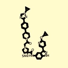 CS[C@@]1(C(=O)Nc2ccc3[nH]nc(-c4ccc(OC5CC5)nc4)c3c2)CCN(CC(=O)N2CC=C(c3ccc(-c4ncn(C5CC5)n4)cc3)CC2)C1